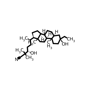 CC[C@]1(O)CC[C@@]2(C)[C@@H](CC[C@@H]3[C@@H]2CC[C@]2(C)[C@@H]([C@H](C)CC[C@H](O)C(C)(C)C#N)CC[C@@H]32)C1